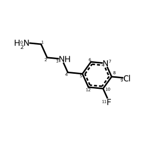 NCCNCc1cnc(Cl)c(F)c1